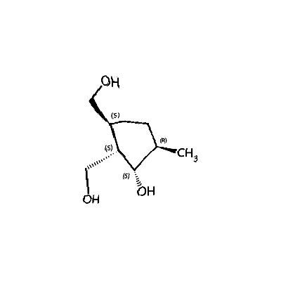 C[C@@H]1C[C@H](CO)[C@@H](CO)[C@H]1O